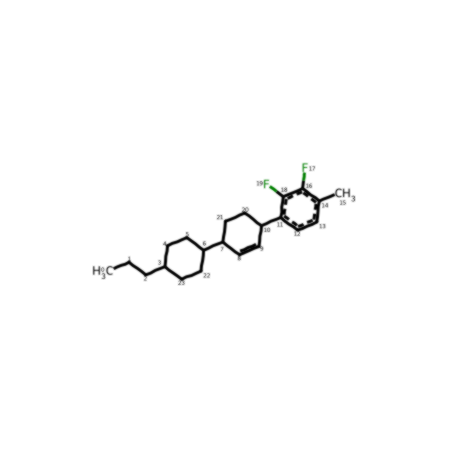 CCCC1CCC(C2C=CC(c3ccc(C)c(F)c3F)CC2)CC1